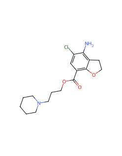 Nc1c(Cl)cc(C(=O)OCCCN2CCCCC2)c2c1CCO2